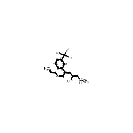 C=CC\N=C/C(=C\C(C)=C\NC)c1cccc(C(F)(F)F)c1